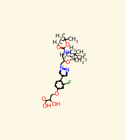 CC(C)(C)OC(=O)NCC(Cn1cc(-c2ccc(OCC(O)C(=O)O)cc2F)cn1)O[Si](C)(C)C(C)(C)C